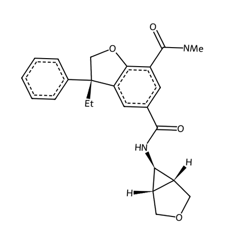 CC[C@@]1(c2ccccc2)COc2c(C(=O)NC)cc(C(=O)N[C@H]3[C@@H]4COC[C@@H]43)cc21